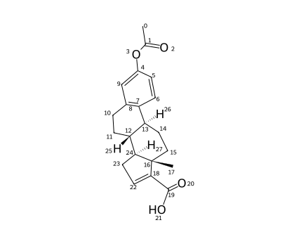 CC(=O)Oc1ccc2c(c1)CC[C@@H]1[C@@H]2CC[C@]2(C)C(C(=O)O)=CC[C@@H]12